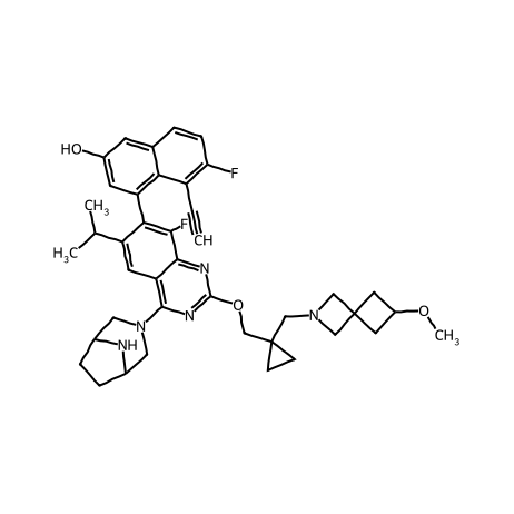 C#Cc1c(F)ccc2cc(O)cc(-c3c(C(C)C)cc4c(N5CC6CCC(C5)N6)nc(OCC5(CN6CC7(CC(OC)C7)C6)CC5)nc4c3F)c12